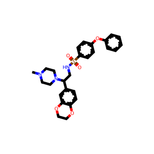 CN1CCN(C(CNS(=O)(=O)c2ccc(Oc3ccccc3)cc2)c2ccc3c(c2)OCCO3)CC1